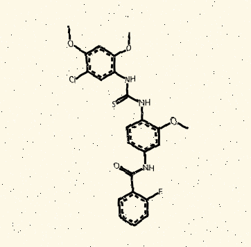 COc1cc(OC)c(NC(=S)Nc2ccc(NC(=O)c3ccccc3F)cc2OC)cc1Cl